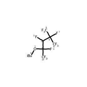 CCC(C)OC(F)(C(F)C(F)(C(F)(F)F)C(F)(F)F)C(F)(F)F